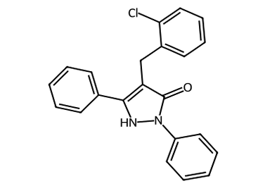 O=c1c(Cc2ccccc2Cl)c(-c2ccccc2)[nH]n1-c1ccccc1